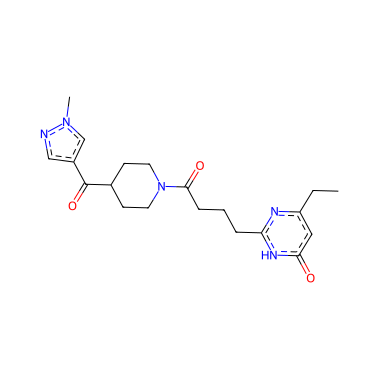 CCc1cc(=O)[nH]c(CCCC(=O)N2CCC(C(=O)c3cnn(C)c3)CC2)n1